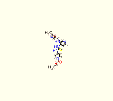 CCOC(=O)N1CCC(NC(=S)Nc2ccncc2NCc2cnc(C)o2)CC1